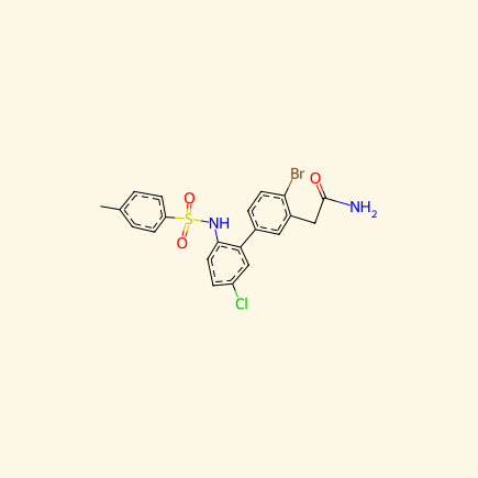 Cc1ccc(S(=O)(=O)Nc2ccc(Cl)cc2-c2ccc(Br)c(CC(N)=O)c2)cc1